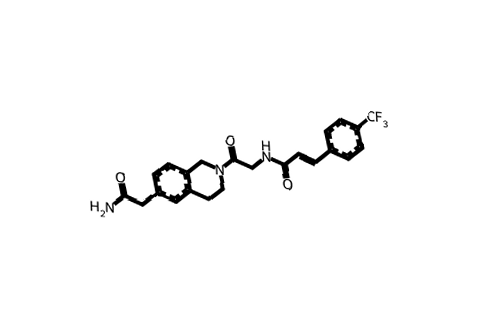 NC(=O)Cc1ccc2c(c1)CCN(C(=O)CNC(=O)C=Cc1ccc(C(F)(F)F)cc1)C2